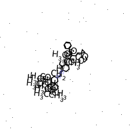 C=C1/C(=C\C=C2/CCC[C@]3(C)[C@@H]([C@H](C)C(O)C(CCC4(C5(C)OCCO5)CC4)S(=O)(=O)c4ccccc4)CC[C@@H]23)C[C@@H](O[Si](C)(C)C(C)(C)C)C[C@@H]1O[Si](C)(C)C(C)(C)C